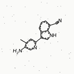 Cc1cc(-c2c[nH]c3c(C#N)cccc23)ncc1N